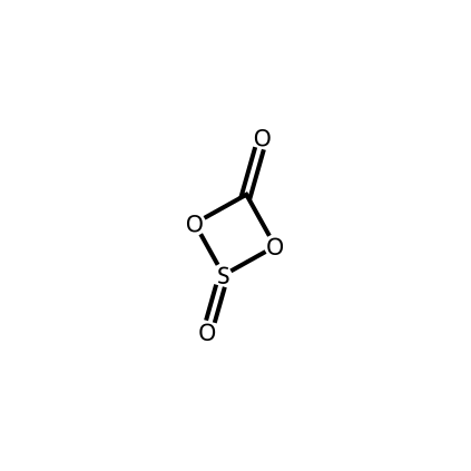 O=C1OS(=O)O1